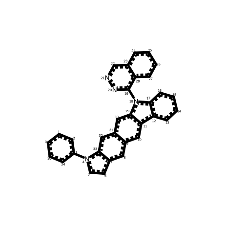 c1ccc(-n2ccc3cc4cc5c6ccccc6n(-c6nncc7ccccc67)c5cc4cc32)cc1